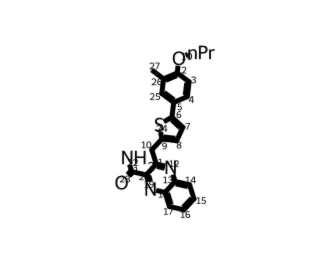 CCCOc1ccc(-c2ccc(Cc3nc4ccccc4nc3C(N)=O)s2)cc1C